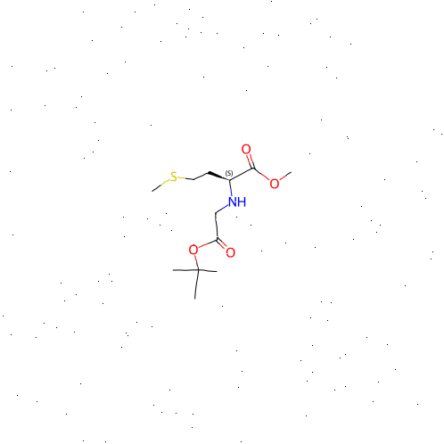 COC(=O)[C@H](CCSC)NCC(=O)OC(C)(C)C